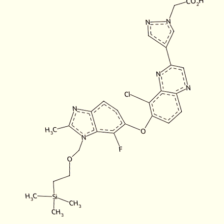 Cc1nc2ccc(Oc3ccc4ncc(-c5cnn(CC(=O)O)c5)nc4c3Cl)c(F)c2n1COCC[Si](C)(C)C